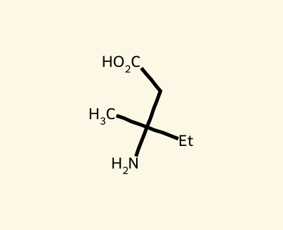 CCC(C)(N)CC(=O)O